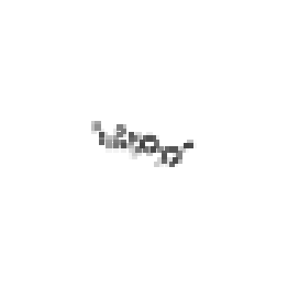 C#Cc1ccc(C)c(-c2ccc3nc(NC(=O)[C@@H]4CC4F)sc3c2)c1